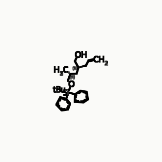 C=CC[C@H](CO)C[C@@H](C)CO[Si](c1ccccc1)(c1ccccc1)C(C)(C)C